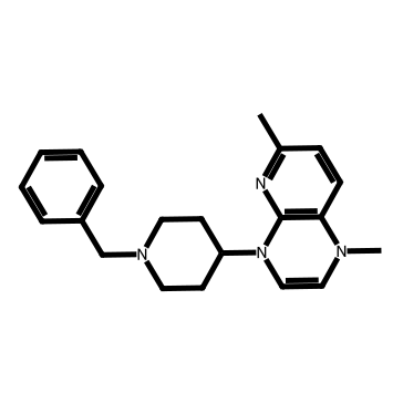 Cc1ccc2c(n1)N(C1CCN(Cc3ccccc3)CC1)C=CN2C